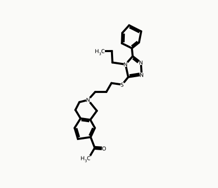 CCCn1c(SCCCN2CCc3ccc(C(C)=O)cc3C2)nnc1-c1ccccc1